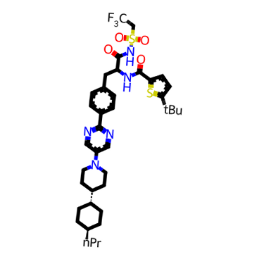 CCC[C@H]1CC[C@H](C2CCN(c3cnc(-c4ccc(CC(NC(=O)c5ccc(C(C)(C)C)s5)C(=O)NS(=O)(=O)CC(F)(F)F)cc4)nc3)CC2)CC1